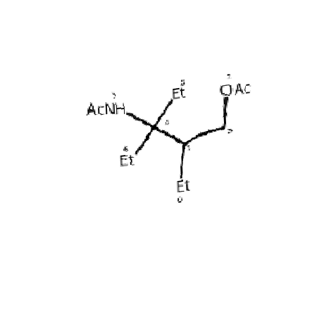 CCC(COC(C)=O)C(CC)(CC)NC(C)=O